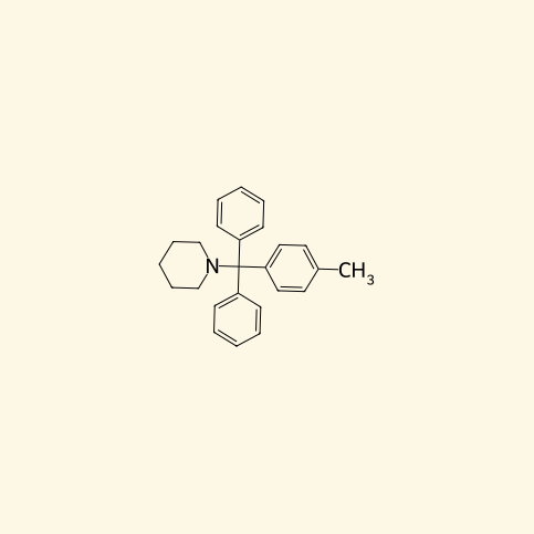 Cc1ccc(C(c2ccccc2)(c2ccccc2)N2CCCCC2)cc1